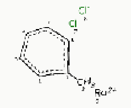 Cc1ccccc1.[Cl-].[Cl-].[Ru+2]